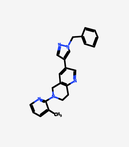 Cc1cccnc1N1CCc2ncc(-c3cnn(Cc4ccccc4)c3)cc2C1